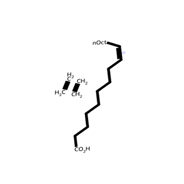 C=C.C=C.CCCCCCCC/C=C\CCCCCCCC(=O)O